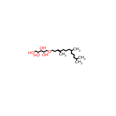 C/C(=C\CCOC[C@H](O)[C@@H](O)[C@H](O)CO)CCCC(C)CCCC(C)C